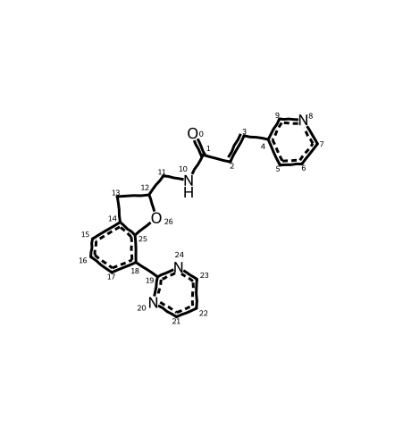 O=C(/C=C/c1cccnc1)NCC1Cc2cccc(-c3ncccn3)c2O1